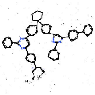 C=C/C=C(\C=C/C)c1ccc(-c2cc(-c3ccc(C4(c5ccc(-c6cc(-c7ccc(-c8ccccc8)cc7)nc(-c7ccccc7)n6)cc5)CCCCC4)cc3)nc(-c3ccccc3)n2)cc1